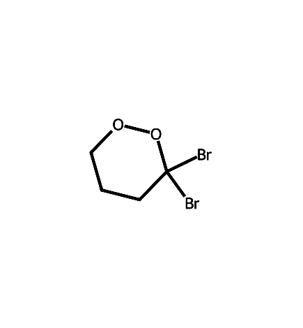 BrC1(Br)CCCOO1